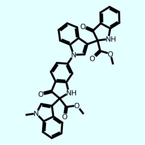 COC(=O)C1(c2cn(C)c3ccccc23)Nc2cc(-n3cc(C4(C(=O)OC)Nc5ccccc5C4=O)c4ccccc43)ccc2C1=O